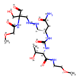 COCCNC(=O)[C@@H](NC(=O)N[C@H](CNNCC(C=O)(CO)NC(=O)COC)CC(N)=O)C(C)O